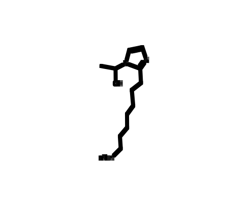 CCCCCCCCCCCCCCCCc1nccn1C(C)O